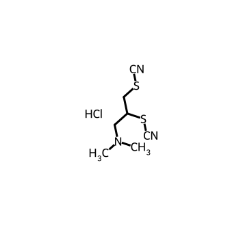 CN(C)CC(CSC#N)SC#N.Cl